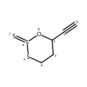 C#CC1CCSS(=S)O1